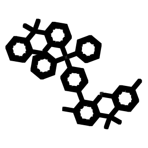 Cc1ccc2c(c1)Sc1c(ccc(C)c1-c1ccc([Si](c3ccccc3)(c3ccccc3)c3cccc4c3Sc3ccccc3C4(C)C)cc1)C2(C)C